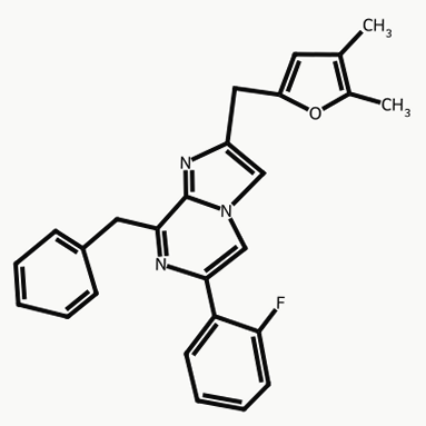 Cc1cc(Cc2cn3cc(-c4ccccc4F)nc(Cc4ccccc4)c3n2)oc1C